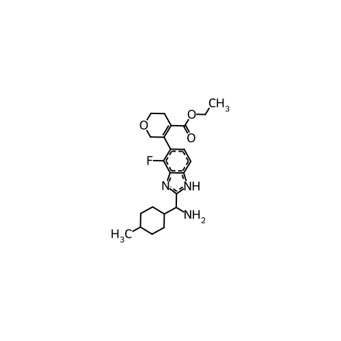 CCOC(=O)C1=C(c2ccc3[nH]c(C(N)C4CCC(C)CC4)nc3c2F)COCC1